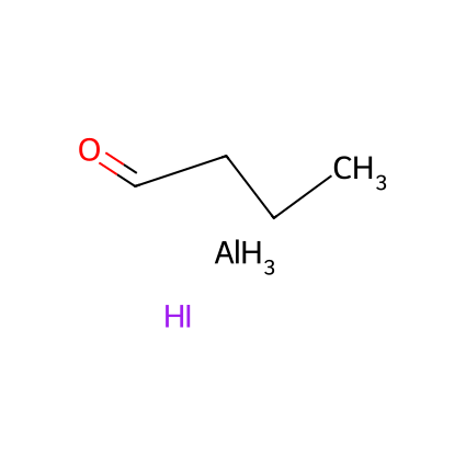 CCCC=O.I.[AlH3]